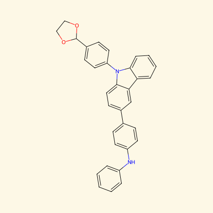 c1ccc(Nc2ccc(-c3ccc4c(c3)c3ccccc3n4-c3ccc(C4OCCO4)cc3)cc2)cc1